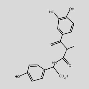 CN(C(=O)NC(C(=O)O)c1ccc(O)cc1)C(=O)c1ccc(O)c(O)c1